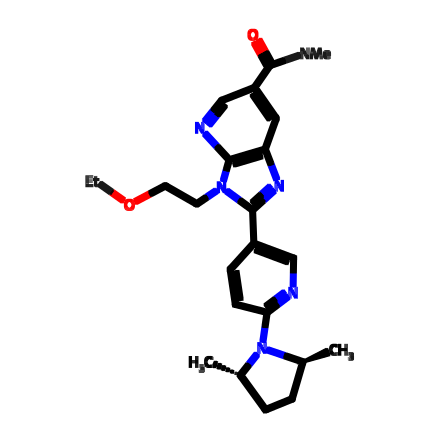 CCOCCn1c(-c2ccc(N3[C@@H](C)CC[C@@H]3C)nc2)nc2cc(C(=O)NC)cnc21